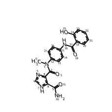 CN(C(=O)c1nc[nH]c1C(N)=O)c1ccc(NC(=O)c2ccccc2O)cc1